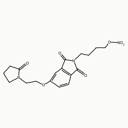 O=C1CCCN1CCOc1ccc2c(c1)C(=O)N(CCCCO[N+](=O)[O-])C2=O